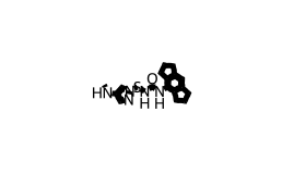 CNc1cnn(SNC(=O)Nc2c3c(cc4c2CCC4)CCC3)c1